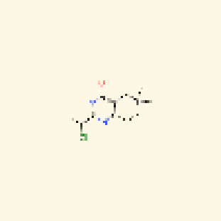 CC(Cl)c1nc(O)c2c(n1)CCC(C)(C)C2